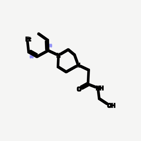 C/C=C(\C=C/CC)N1CCN(CC(=O)NCO)CC1